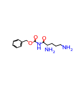 NCCC[C@H](N)C(=O)NC(=O)OCc1ccccc1